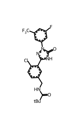 CC(C)(C)C(=O)NCc1ccc(Cl)c(-c2nn(-c3cc(F)cc(C(F)(F)F)c3)c(=O)[nH]2)c1